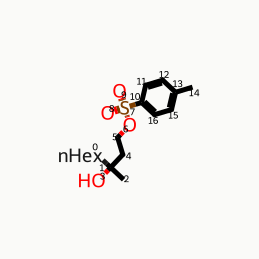 CCCCCCC(C)(O)CCOS(=O)(=O)c1ccc(C)cc1